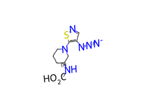 [N-]=[N+]=Nc1cnsc1N1CCC[C@H](NC(=O)O)C1